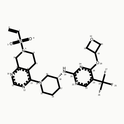 C=CS(=O)(=O)N1CCc2c(ncnc2N2CCC[C@@H](Nc3ncc(C(F)(F)F)c(OC4COC4)n3)C2)C1